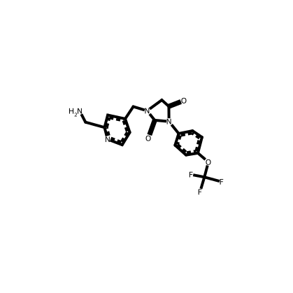 NCc1cc(CN2CC(=O)N(c3ccc(OC(F)(F)F)cc3)C2=O)ccn1